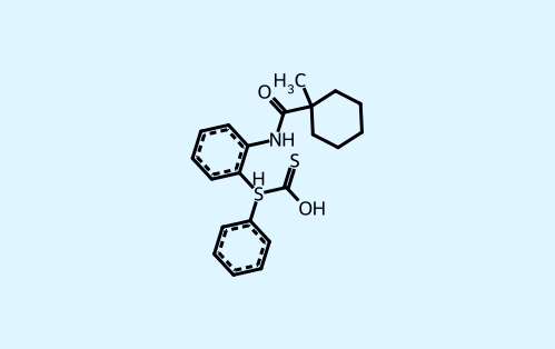 CC1(C(=O)Nc2ccccc2[SH](C(O)=S)c2ccccc2)CCCCC1